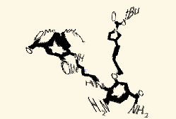 COC(=O)c1cc(N)c(NC/C=C/CNc2c(N)cc(C(N)=O)cc2OCC#CC2CCN(C(=O)OC(C)(C)C)C2)c(OC)c1